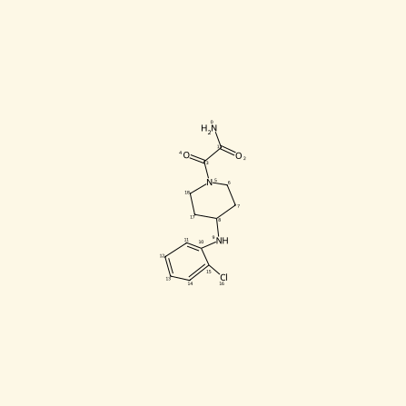 NC(=O)C(=O)N1CCC(Nc2ccccc2Cl)CC1